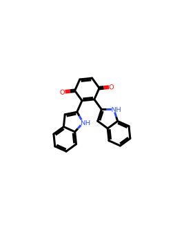 O=C1C=CC(=O)C(c2cc3ccccc3[nH]2)=C1c1cc2ccccc2[nH]1